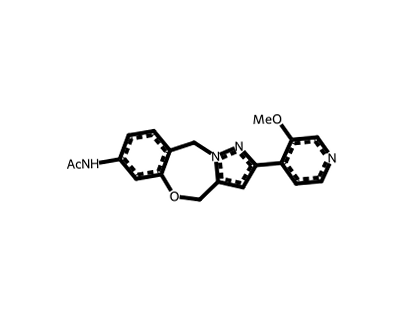 COc1cnccc1-c1cc2n(n1)Cc1ccc(NC(C)=O)cc1OC2